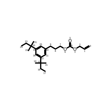 C=CCOC(=O)OCCCc1cc(C(C)(C)CC)cc(C(C)(C)CC)c1